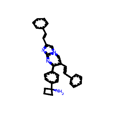 NC1(c2ccc(-c3nc4nc(C=Cc5ccccc5)cn4cc3C=Cc3ccccc3)cc2)CCC1